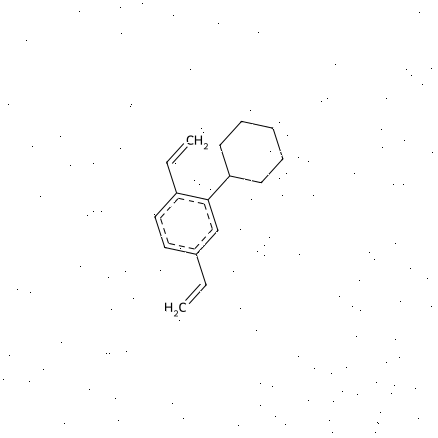 C=Cc1ccc(C=C)c(C2CCCCC2)c1